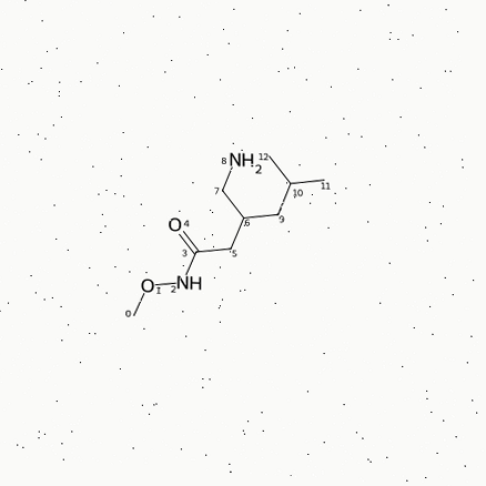 CONC(=O)CC(CN)CC(C)C